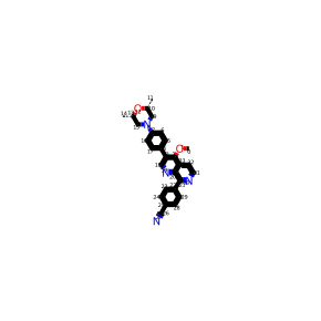 COc1c(-c2ccc(N3C[C@@H](C)O[C@@H](C)C3)cc2)cnc2c(-c3ccc(C#N)cc3)nccc12